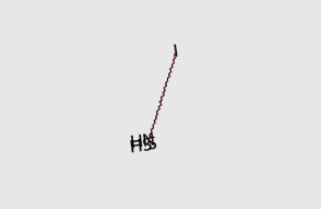 S=C(S)NCCCCCCCCCCCCCCCCCCCCCCCCCCCCCCCCCCCCCI